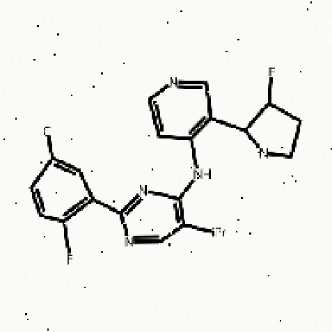 CC(C)c1cnc(-c2cc(Cl)ccc2F)nc1Nc1ccncc1C1[N]CCC1F